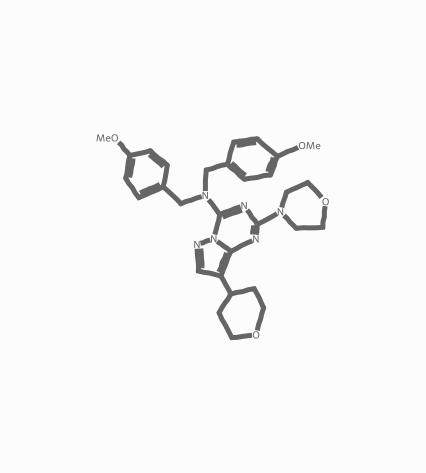 COc1ccc(CN(Cc2ccc(OC)cc2)c2nc(N3CCOCC3)nc3c(C4CCOCC4)cnn23)cc1